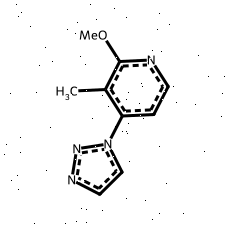 COc1nccc(-n2ccnn2)c1C